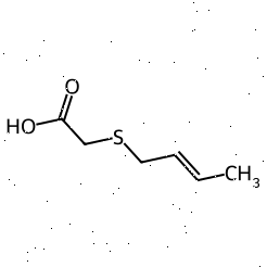 CC=CCSCC(=O)O